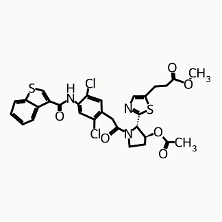 COC(=O)CCc1cnc([C@@H]2[C@@H](OC(C)=O)CCN2C(=O)Cc2cc(Cl)c(NC(=O)c3csc4ccccc34)cc2Cl)s1